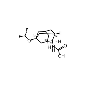 O=C(O)N[C@H]1[C@@H]2CC3C[C@H]1C[C@@](OC(F)F)(C3)C2